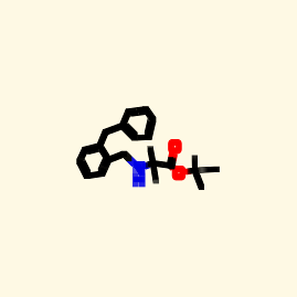 CC(C)(C)OC(=O)C(C)(C)NCc1ccccc1Cc1ccccc1